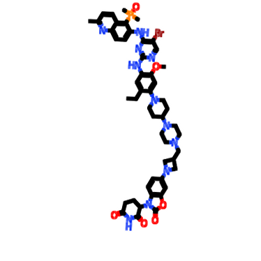 CCc1cc(Nc2ncc(Br)c(Nc3ccc4nc(C)ccc4c3P(C)(C)=O)n2)c(OC)cc1N1CCC(N2CCN(CC3CN(c4ccc5c(c4)oc(=O)n5C4CCC(=O)NC4=O)C3)CC2)CC1